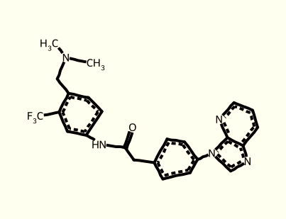 CN(C)Cc1ccc(NC(=O)Cc2ccc(-n3cnc4cccnc43)cc2)cc1C(F)(F)F